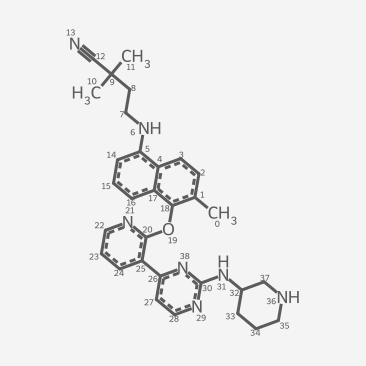 Cc1ccc2c(NCCC(C)(C)C#N)cccc2c1Oc1ncccc1-c1ccnc(NC2CCCNC2)n1